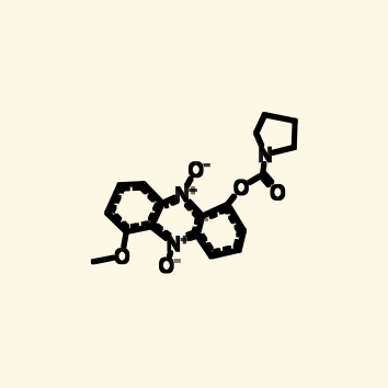 COc1cccc2c1[n+]([O-])c1cccc(OC(=O)N3CCCC3)c1[n+]2[O-]